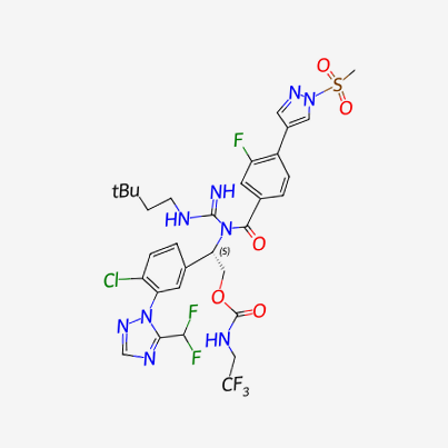 CC(C)(C)CCNC(=N)N(C(=O)c1ccc(-c2cnn(S(C)(=O)=O)c2)c(F)c1)[C@H](COC(=O)NCC(F)(F)F)c1ccc(Cl)c(-n2ncnc2C(F)F)c1